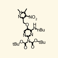 CCCCNc1nc(N(C(=O)OC(C)(C)C)C(=O)OC(C)(C)C)ncc1OCc1nn(C)c(C)c1[N+](=O)[O-]